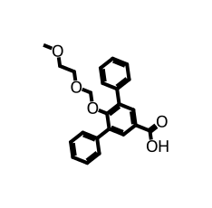 COCCOCOc1c(-c2ccccc2)cc(C(=O)O)cc1-c1ccccc1